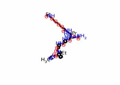 CCC(=O)NCCOCCOCCOCCOCCC(=O)NCCN[C@@H](C(=O)N[C@H](CCCNC(N)=O)C(=O)Nc1ccc(C(=O)Nc2ccc3oc(C(=O)N4CC(CC)c5c4cc(OC(=O)N4CCN(C)CC4)c4ccccc54)cc3c2)cc1)C(C)C